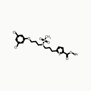 CC(C)OC(=O)c1ccc(CCCN(CCCOc2cc(Cl)cc(Cl)c2)S(C)(=O)=O)s1